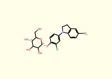 O=[N+]([O-])c1ccc2c(c1)CCN2c1ccc(O[C@H]2OC(CO)[C@@H](O)C(O)C2O)c(Cl)c1